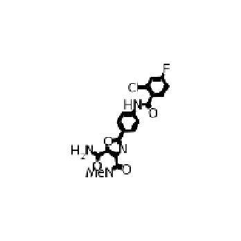 CNC(=O)c1nc(-c2ccc(NC(=O)c3ccc(F)cc3Cl)cc2)oc1C(N)=O